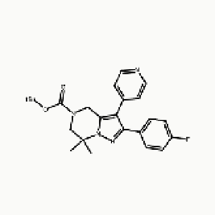 CC(C)(C)OC(=O)N1Cc2c(-c3ccncc3)c(-c3ccc(F)cc3)nn2C(C)(C)C1